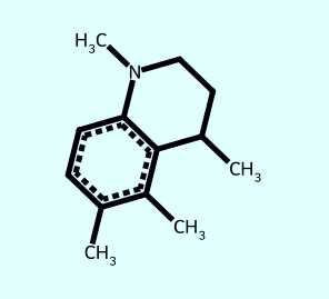 Cc1ccc2c(c1C)C(C)CCN2C